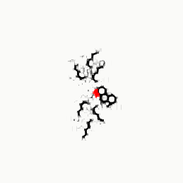 C=C1C[C@@]23CCC4[C@](C)(C(=O)OOC/C(OC(O)/C(O)=C(/O)C(O)CCO)=C(\CCCO)OC(O)/C(O)=C(\O)C(O)CCO)CCC[C@@]4(C)[C@@H]2CC[C@]1(OC(O)/C(OC(O)/C(O)=C(/O)C(O)CCO)=C(\CCCO)OC(O)/C(O)=C(/O)C(O)CCO)[C@@H]3C